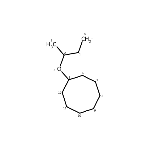 [CH2]CC(C)OC1CCCCCCC1